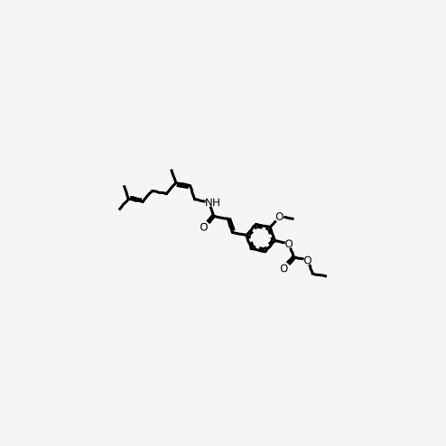 CCOC(=O)Oc1ccc(C=CC(=O)NCC=C(C)CCC=C(C)C)cc1OC